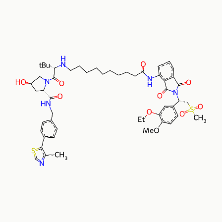 CCOc1cc([C@@H](CS(C)(=O)=O)N2C(=O)c3cccc(NC(=O)CCCCCCCCCN[C@H](C(=O)N4C[C@H](O)C[C@H]4C(=O)NCc4ccc(-c5scnc5C)cc4)C(C)(C)C)c3C2=O)ccc1OC